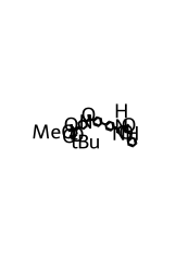 COC(=O)C(OC(=O)C(C)(C)C)=C1CCN(C(=O)c2ccc(-c3ccc(C(=N)NC(=O)OCc4ccccc4)cc3)cc2)CC1